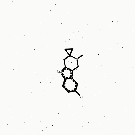 CN1Cc2c([nH]c3ccc(Cl)cc23)CC12CC2